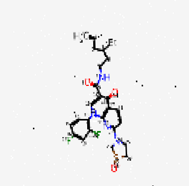 C=CCC(CC)CCNC(=O)c1cn(-c2ccc(F)cc2F)c2nc(N3CC[S+]([O-])C3)ccc2c1=O